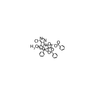 Cn1ccc2c1c1c(Cl)ncnc1n2[C@@H]1O[C@H](COC(=O)c2ccccc2)[C@@H](OC(=O)c2ccccc2)[C@H]1OC(=O)c1ccccc1